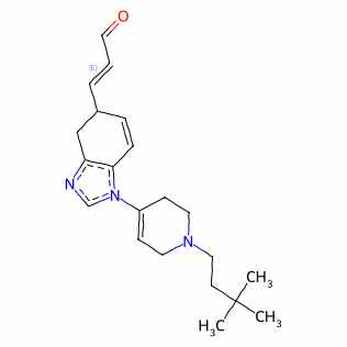 CC(C)(C)CCN1CC=C(n2cnc3c2C=CC(/C=C/C=O)C3)CC1